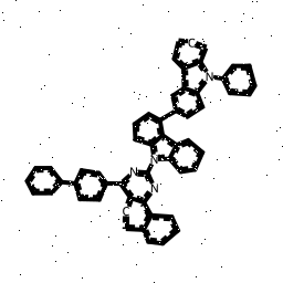 c1ccc(-c2ccc(-c3nc(-n4c5ccccc5c5c(-c6ccc7c(c6)c6ccccc6n7-c6ccccc6)cccc54)nc4c3ccc3ccccc34)cc2)cc1